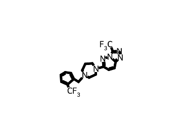 FC(F)(F)c1ccccc1CN1CCCN(c2ccc3nnc(C(F)(F)F)n3n2)CC1